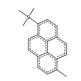 Cc1ccc2ccc3c([Si](C)(C)C)ccc4ccc1c2c43